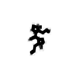 C=CCc1[nH]ccc1C(=O)c1cc[nH]c1CC=C